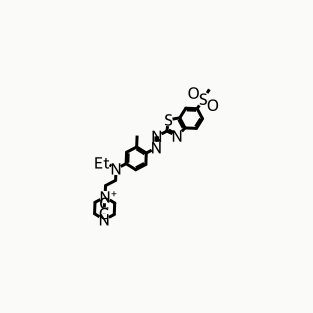 CCN(CC[N+]12CCN(CC1)CC2)c1ccc(/N=N/c2nc3ccc(S(C)(=O)=O)cc3s2)c(C)c1